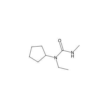 CCN(C(=O)NC)C1CCCC1